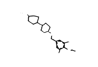 CCCC1CCC(C2CCC(OCc3cc(F)c(OCF)c(F)c3)CC2)CC1